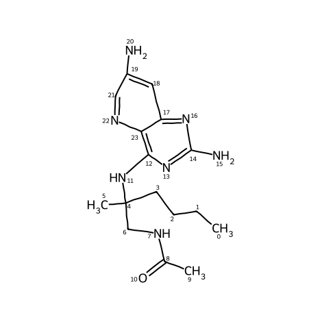 CCCCC(C)(CNC(C)=O)Nc1nc(N)nc2cc(N)cnc12